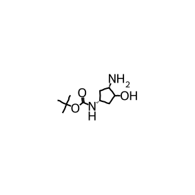 CC(C)(C)OC(=O)N[C@H]1CC(O)[C@H](N)C1